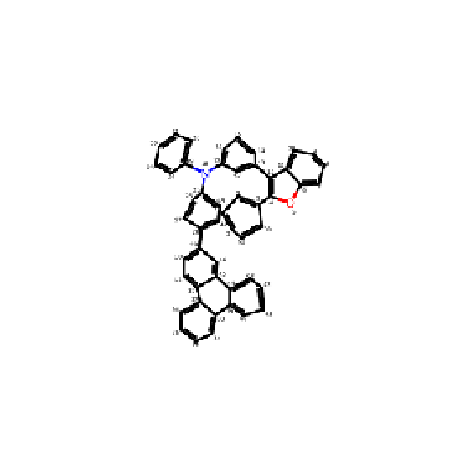 c1ccc(-c2oc3ccccc3c2-c2cccc(N(c3ccccc3)c3ccc(-c4ccc5c6ccccc6c6ccccc6c5c4)cc3)c2)cc1